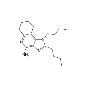 [CH2]CCCn1c(CCCC)nc2c(N)nc3c(c21)CCCC3